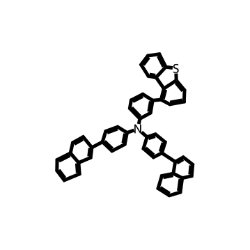 c1cc(-c2cccc3sc4ccccc4c23)cc(N(c2ccc(-c3ccc4ccccc4c3)cc2)c2ccc(-c3cccc4ccccc34)cc2)c1